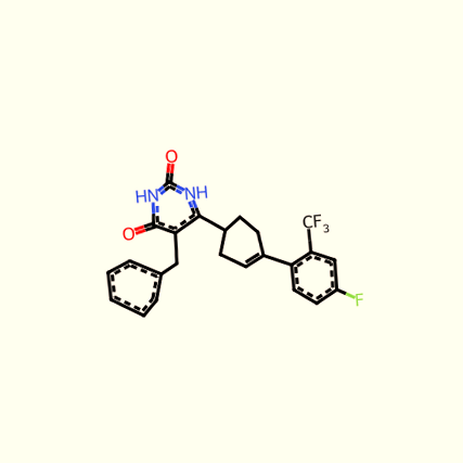 O=c1[nH]c(C2CC=C(c3ccc(F)cc3C(F)(F)F)CC2)c(Cc2ccccc2)c(=O)[nH]1